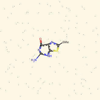 CSc1nc2c(=O)nc(N)[nH]c2s1